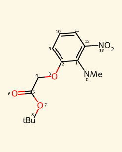 CNc1c(OCC(=O)OC(C)(C)C)cccc1[N+](=O)[O-]